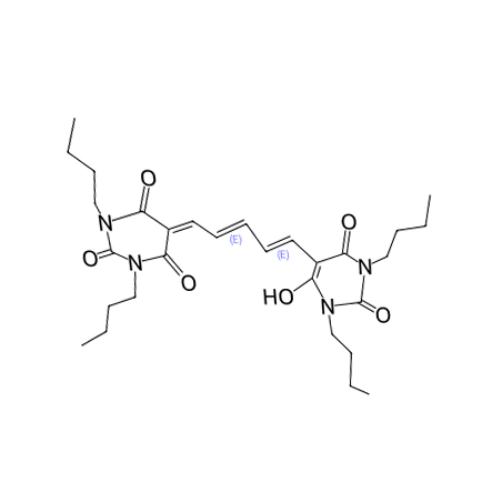 CCCCN1C(=O)C(=C/C=C/C=C/c2c(O)n(CCCC)c(=O)n(CCCC)c2=O)C(=O)N(CCCC)C1=O